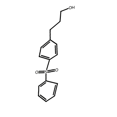 O=S(=O)(c1ccccc1)c1ccc(CCCO)cc1